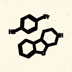 C1=CCC2C(=C1)OC1CNCCC12.CC(C)c1ccc(S)cc1